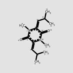 CC(C)/C=c1/c(=O)n(C)/c(=C/C(C)C)c(=O)n1C